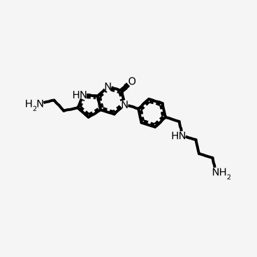 NCCCNCc1ccc(-n2cc3cc(CCN)[nH]c3nc2=O)cc1